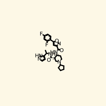 CC(NC(=O)[C@H]1CN(C2CCCC2)CC[C@@H]1NC(=O)c1cc(-c2ccc(F)cc2F)on1)c1ccn[nH]1